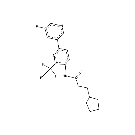 O=C(CCC1CCCC1)Nc1ccc(-c2cncc(F)c2)nc1C(F)(F)F